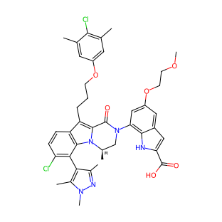 COCCOc1cc(N2C[C@@H](C)n3c(c(CCCOc4cc(C)c(Cl)c(C)c4)c4ccc(Cl)c(-c5c(C)nn(C)c5C)c43)C2=O)c2[nH]c(C(=O)O)cc2c1